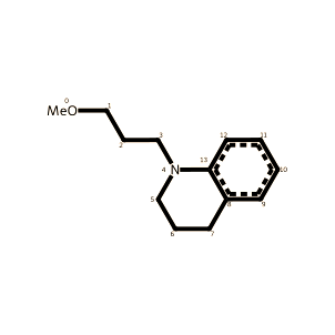 COCCCN1CCCc2ccccc21